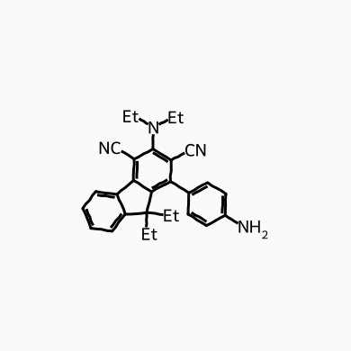 CCN(CC)c1c(C#N)c(-c2ccc(N)cc2)c2c(c1C#N)-c1ccccc1C2(CC)CC